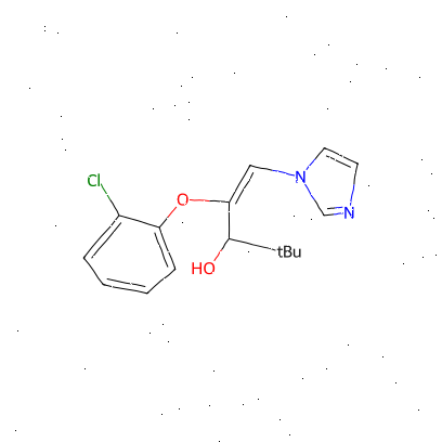 CC(C)(C)C(O)C(=Cn1ccnc1)Oc1ccccc1Cl